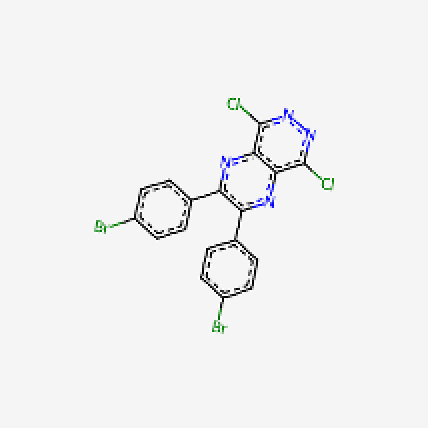 Clc1nnc(Cl)c2nc(-c3ccc(Br)cc3)c(-c3ccc(Br)cc3)nc12